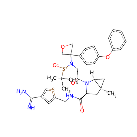 CC(C)(C)[S+]([O-])N(CC(=O)N1[C@H]2C[C@@]2(C)C[C@H]1C(=O)NCc1cc(C(=N)N)cs1)C1(c2ccc(Oc3ccccc3)cc2)COC1